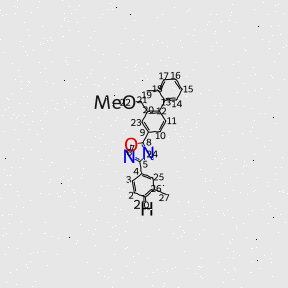 [2H]c1ccc(-c2noc(-c3ccc(-c4ccccc4C)c(COC)c3)n2)cc1C